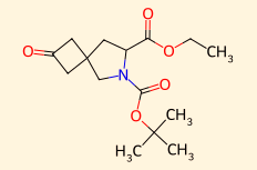 CCOC(=O)C1CC2(CC(=O)C2)CN1C(=O)OC(C)(C)C